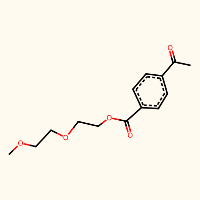 COCCOCCOC(=O)c1ccc(C(C)=O)cc1